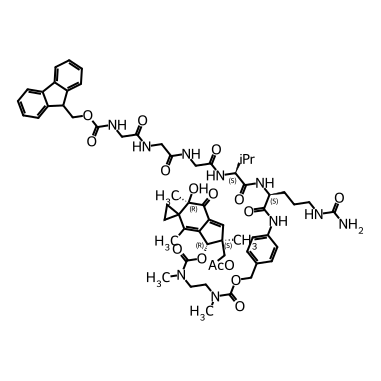 CC(=O)OC[C@]1(C)C=C2C(=O)[C@](C)(O)C3(CC3)C(C)=C2[C@H]1OC(=O)N(C)CCN(C)C(=O)OCc1ccc(NC(=O)[C@H](CCCNC(N)=O)NC(=O)[C@@H](NC(=O)CNC(=O)CNC(=O)CNC(=O)OCC2c3ccccc3-c3ccccc32)C(C)C)cc1